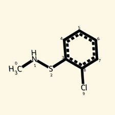 CNSc1ccccc1Cl